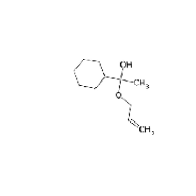 C=CCOC(C)(O)C1CCCCC1